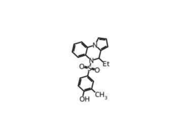 CCC1c2cccn2-c2ccccc2N1S(=O)(=O)c1ccc(O)c(C)c1